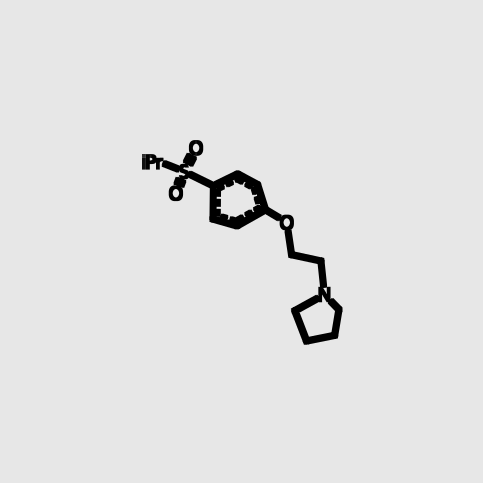 CC(C)S(=O)(=O)c1ccc(OCCN2CCCC2)cc1